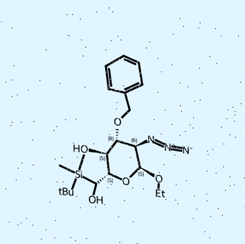 CCO[C@H]1O[C@H](C(O)[Si](C)(C)C(C)(C)C)[C@@H](O)[C@H](OCc2ccccc2)[C@H]1N=[N+]=[N-]